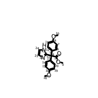 COC(=O)C(c1ccc(OC)cc1)(c1ccc(OC)cc1)c1ncc[nH]1